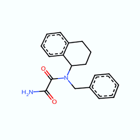 NC(=O)C(=O)N(Cc1ccccc1)C1CCCc2ccccc21